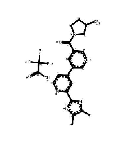 Cc1nc(-c2cc(-c3cncc(C(=O)N4CCC(C(F)(F)F)C4)c3)ccn2)[nH]c1C.O=C(O)C(F)(F)F